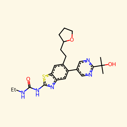 CCNC(=O)Nc1nc2cc(-c3cnc(C(C)(C)O)nc3)c(CCC3CCCO3)cc2s1